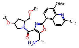 CCOC[C@@H]1C[C@@H](OCC)CN1C(=O)c1nc(-c2ccc(OC)c3nc(C(F)(F)F)ccc23)oc1[C@H](C)N